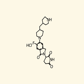 Cl.O=C1CCC(N2Cc3cc(N4CCC(CC5CCNCC5)CC4)c(F)cc3C2=O)C(=O)N1